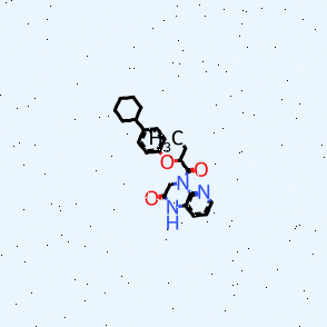 CCC(Oc1ccc(C2CCCCC2)cc1)C(=O)N1CC(=O)Nc2cccnc21